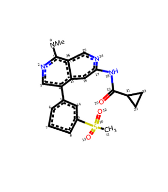 CNc1ncc(-c2cccc(S(C)(=O)=O)c2)c2cc(NC(=O)C3CC3)ncc12